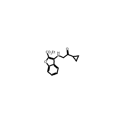 CCOC(=O)c1oc2ccccc2c1NCC(=O)C1CC1